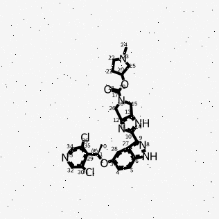 C[C@@H](Oc1ccc2[nH]nc(-c3nc4c([nH]3)CN(C(=O)OC3CCN(C)C3)C4)c2c1)c1c(Cl)cncc1Cl